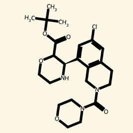 CC(C)(C)OC(=O)C1OCCN[C@@H]1c1cc(Cl)cc2c1CN(C(=O)N1CCOCC1)CC2